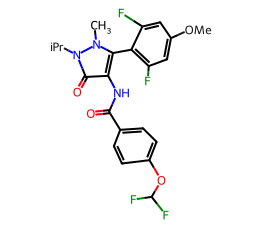 COc1cc(F)c(-c2c(NC(=O)c3ccc(OC(F)F)cc3)c(=O)n(C(C)C)n2C)c(F)c1